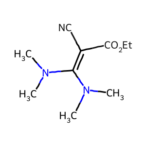 CCOC(=O)C(C#N)=C(N(C)C)N(C)C